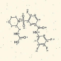 O=C(O)NCC1COCCN1S(=O)(=O)c1cc(C(=O)Nc2cc(F)c(F)c(F)c2)ccc1F